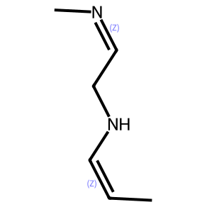 C/C=C\NC/C=N\C